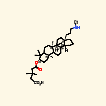 CCNCCC[C@]12CCC[C@@H]1[C@H]1CCC3[C@@]4(C)CC[C@H](OC(=O)CC(C)(C)CC(=O)O)C(C)(C)C4CC[C@@]3(C)[C@]1(C)CC2